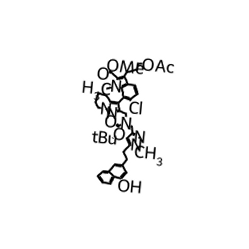 COC(=O)c1c(CCCOC(C)=O)c2ccc(Cl)c(-c3c(CN(Cc4cc(CCc5cc(O)c6ccccc6c5)n(C)n4)C(=O)OC(C)(C)C)nn4c3CCCC4)c2n1C